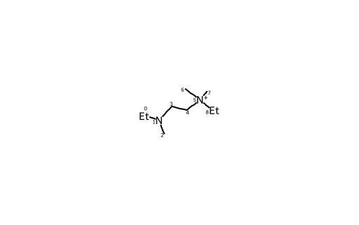 CCN(C)CC[N+](C)(C)CC